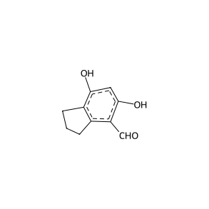 O=Cc1c(O)cc(O)c2c1CCC2